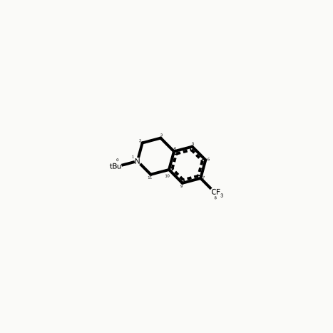 CC(C)(C)N1CCc2ccc(C(F)(F)F)cc2C1